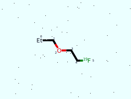 CCCOCC[19F]